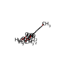 C=CCOC(=O)CCCCCCCCCCCCCCCCC.C=COC(=O)CC/C=C/C(=O)O.C=Cc1cc(C(C)(C)C)ccc1C(=O)O